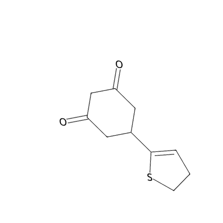 O=C1CC(=O)CC(C2=CCCS2)C1